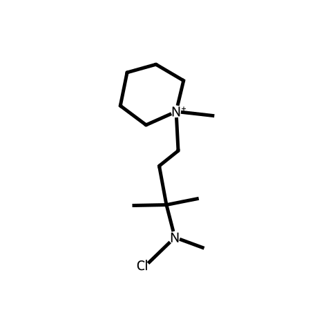 CN(Cl)C(C)(C)CC[N+]1(C)CCCCC1